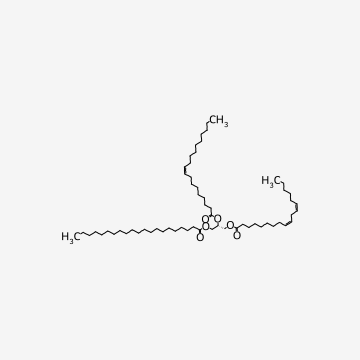 CCCCC/C=C\C/C=C\CCCCCCCC(=O)OC[C@H](COC(=O)CCCCCCCCCCCCCCCCCCCC)OC(=O)CCCCCCC/C=C\CCCCCCCCC